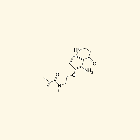 C=C(C)C(=O)N(C)CCOc1ccc2c(c1N)C(=O)CCN2